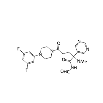 CNC(CCC(=O)N1CCN(c2cc(F)cc(F)c2)CC1)(C(=O)NC=O)c1cncnc1